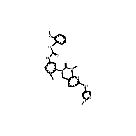 COc1ccccc1NC(=O)Nc1ccc(C)c(N2Cc3cnc(Nc4cnn(C)c4)nc3N(C)C2=O)c1